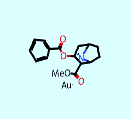 COC(=O)C1C(OC(=O)c2ccccc2)CC2CCC1N2C.[Au]